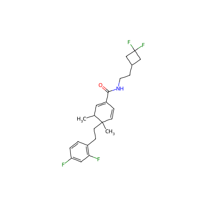 CC1C=C(C(=O)NCCC2CC(F)(F)C2)C=CC1(C)CCc1ccc(F)cc1F